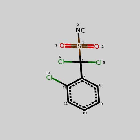 [C-]#[N+]S(=O)(=O)C(Cl)(Cl)c1ccccc1Cl